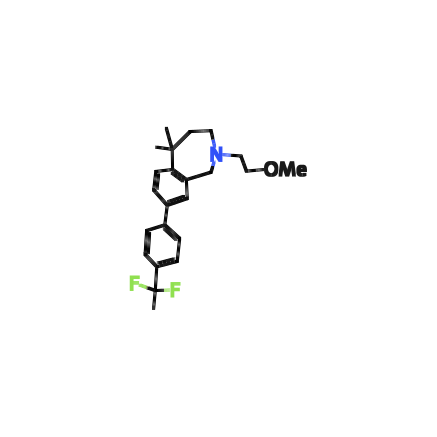 COCCN1CCC(C)(C)c2ccc(-c3ccc(C(C)(F)F)cc3)cc2C1